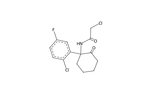 O=C(CCl)NC1(c2cc(F)ccc2Cl)CCCCC1=O